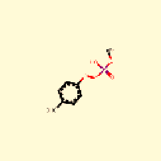 CCCOP(=O)(O)OOc1ccc(C=O)cc1